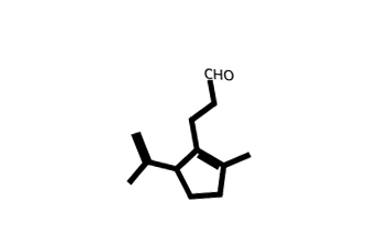 C=C(C)C1CCC(C)=C1CCC=O